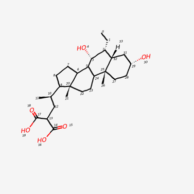 CC[C@H]1[C@@H](O)C2C3CCC([C@H](C)CC(C(=O)O)C(=O)O)[C@@]3(C)CCC2[C@@]2(C)CC[C@@H](O)C[C@@H]12